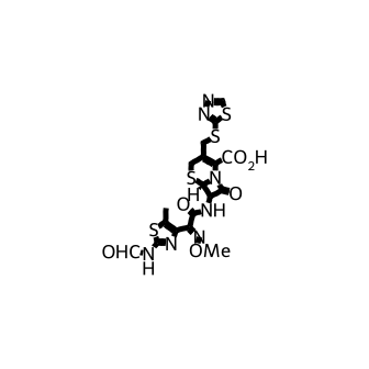 CON=C(C(=O)NC1C(=O)N2C(C(=O)O)=C(CSc3nncs3)CS[C@@H]12)c1nc(NC=O)sc1C